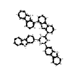 c1ccc2c(c1)oc1cc(-c3nc(-c4ccc5c(c4)oc4ccccc45)nc(-c4cccc5c4sc4c(-c6cccc7c6sc6ccccc67)cccc45)n3)ccc12